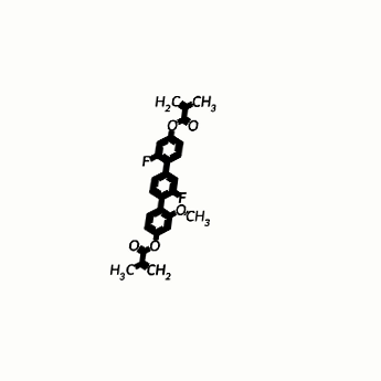 C=C(C)C(=O)Oc1ccc(-c2ccc(-c3ccc(OC(=O)C(=C)C)cc3OC)c(F)c2)c(F)c1